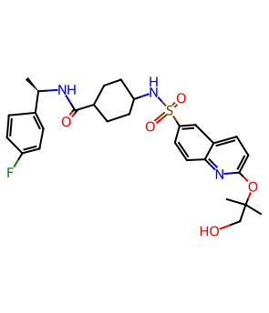 C[C@@H](NC(=O)C1CCC(NS(=O)(=O)c2ccc3nc(OC(C)(C)CO)ccc3c2)CC1)c1ccc(F)cc1